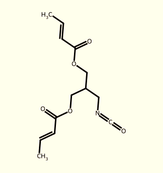 CC=CC(=O)OCC(CN=C=O)COC(=O)C=CC